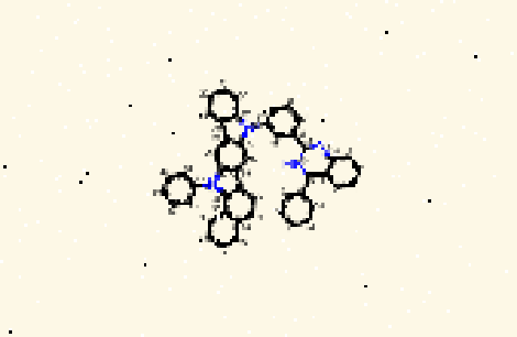 c1ccc(C2=c3ccccc3=NC(c3cccc(-n4c5ccccc5c5cc6c(cc54)c4ccc5ccccc5c4n6-c4ccccc4)c3)N2)cc1